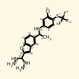 CC(Nc1ccc(SC(F)(F)F)c(Cl)c1)c1ccc2oc(C(NN)NN)cc2c1